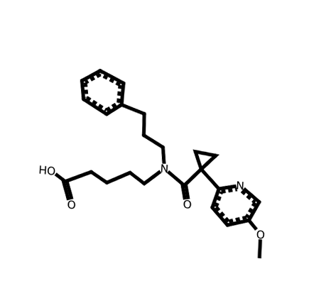 COc1ccc(C2(C(=O)N(CCCCC(=O)O)CCCc3ccccc3)CC2)nc1